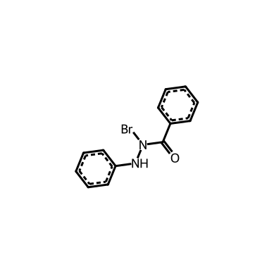 O=C(c1ccccc1)N(Br)Nc1ccccc1